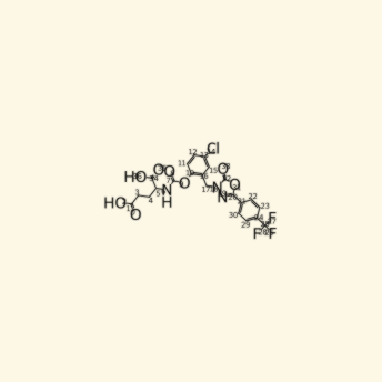 O=C(O)CCC(NC(=O)Oc1ccc(Cl)cc1Cn1nc(-c2ccc(C(F)(F)F)cc2)oc1=O)C(=O)O